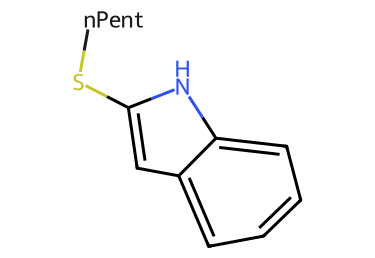 CCCCCSc1cc2ccccc2[nH]1